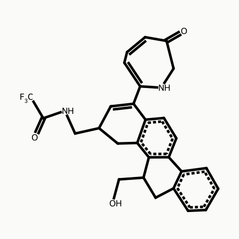 O=C1C=CC=C(C2=CC(CNC(=O)C(F)(F)F)Cc3c2ccc2c3C(CO)Cc3ccccc3-2)NC1